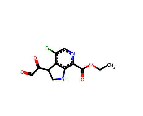 CCOC(=O)c1ncc(F)c2c1NCC2C(=O)C=O